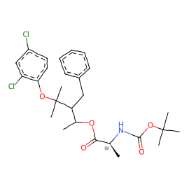 CC(OC(=O)[C@H](C)NC(=O)OC(C)(C)C)C(Cc1ccccc1)C(C)(C)Oc1ccc(Cl)cc1Cl